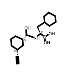 C#C[C@@H]1CCC[C@H](C(O)N[C@@H](CC2CCCCC2)B(O)O)C1